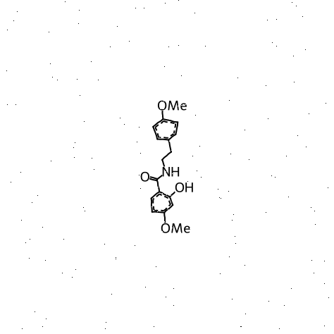 COc1ccc(CCNC(=O)c2ccc(OC)cc2O)cc1